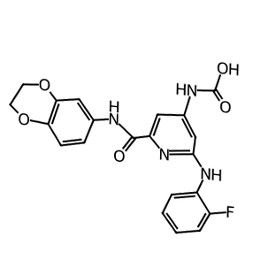 O=C(O)Nc1cc(Nc2ccccc2F)nc(C(=O)Nc2ccc3c(c2)OCCO3)c1